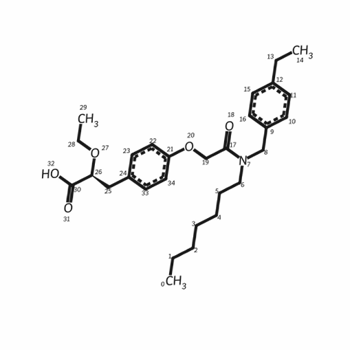 CCCCCCCN(Cc1ccc(CC)cc1)C(=O)COc1ccc(C[C@H](OCC)C(=O)O)cc1